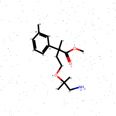 COC(=O)C(C)(CCOC(C)(C)CN)c1cccc(C)c1